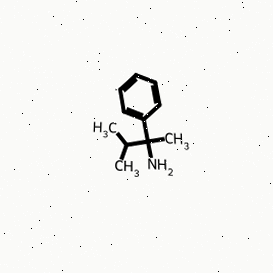 CC(C)C(C)(N)c1c[c]ccc1